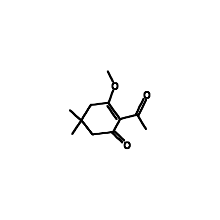 COC1=C(C(C)=O)C(=O)CC(C)(C)C1